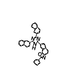 c1ccc(-c2nc3ccc4ccc(C5=NC(c6ccc7ccccc7c6)=NC(c6ccc7ccccc7c6)N5)cc4c3o2)cc1